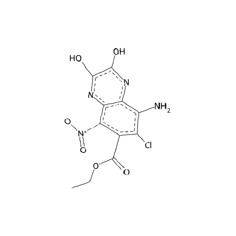 CCOC(=O)c1c(Cl)c(N)c2nc(O)c(O)nc2c1[N+](=O)[O-]